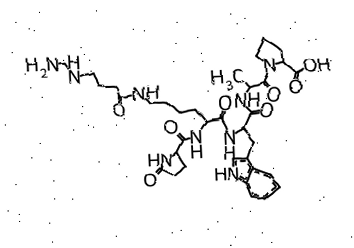 CC(NC(=O)C(Cc1c[nH]c2ccccc12)NC(=O)C(CCCCNC(=O)CCCNCN)NC(=O)C1CCC(=O)N1)C(=O)N1CCCC1C(=O)O